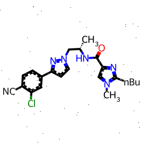 CCCCc1nc(C(=O)N[C@@H](C)Cn2ccc(-c3ccc(C#N)c(Cl)c3)n2)cn1C